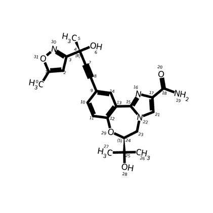 Cc1cc([C@](C)(O)C#Cc2ccc3c(c2)-c2nc(C(N)=O)cn2C[C@@H](C(C)(C)O)O3)no1